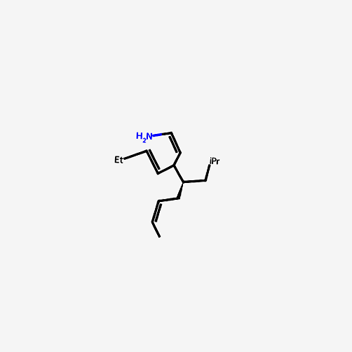 C/C=C\C[C@H](CC(C)C)C(/C=C\N)/C=C/CC